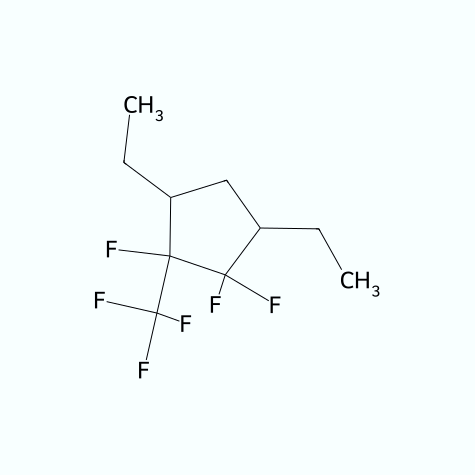 CCC1CC(CC)C(F)(C(F)(F)F)C1(F)F